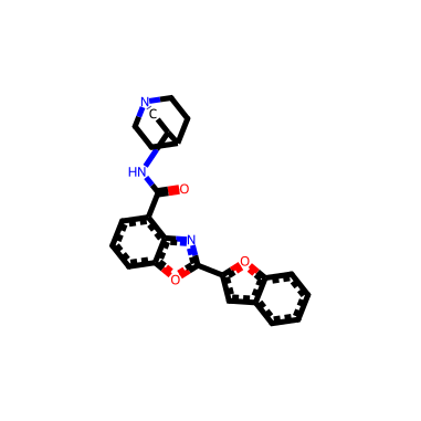 O=C(NC1CN2CCC1CC2)c1cccc2oc(-c3cc4ccccc4o3)nc12